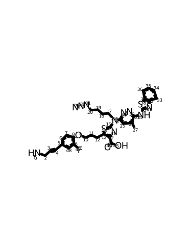 CNCC#Cc1ccc(OCCCc2sc(N(CCCCN=[N+]=[N-])c3cc(C)c(Nc4nc5ccccc5s4)nn3)nc2C(=O)O)c(F)c1